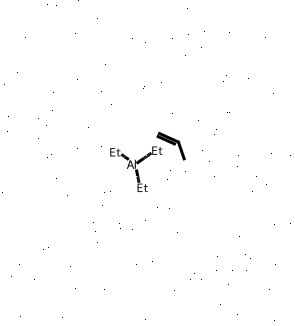 C=CC.C[CH2][Al]([CH2]C)[CH2]C